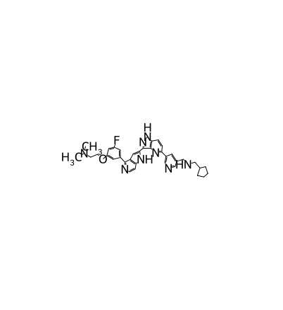 CN(C)CCOc1cc(F)cc(-c2nccc3[nH]c(-c4n[nH]c5ccc(-c6cncc(CNCC7CCCC7)c6)nc45)cc23)c1